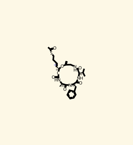 C=C1CNC(=O)[C@@H](C(C)C)NC(=O)[C@@H](Cc2ccccc2)NC(=O)[C@@H](C)NC(=O)C[C@@H](/C=C/CCSC(C)=O)O1